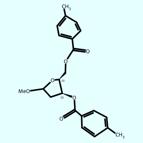 COC1C[C@H](OC(=O)c2ccc(C)cc2)[C@H](COC(=O)c2ccc(C)cc2)O1